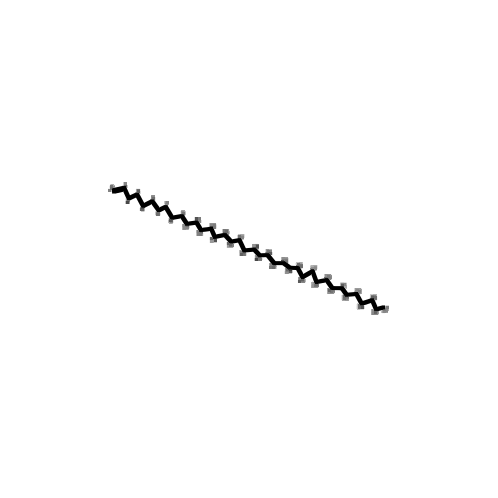 [CH]=CCCCCCCCCCCCCCCCCCCCCCCCCCCCCCCCCCCC[CH2]